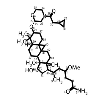 COC(CCC(N)=O)C[C@@H](C)[C@H]1C[C@H](O)[C@@]2(C)C3CC[C@H]4C(C)(C)C(O[C@H]5CN(C(=O)CC6CC6)CCO5)CCC45CC35CCC12C